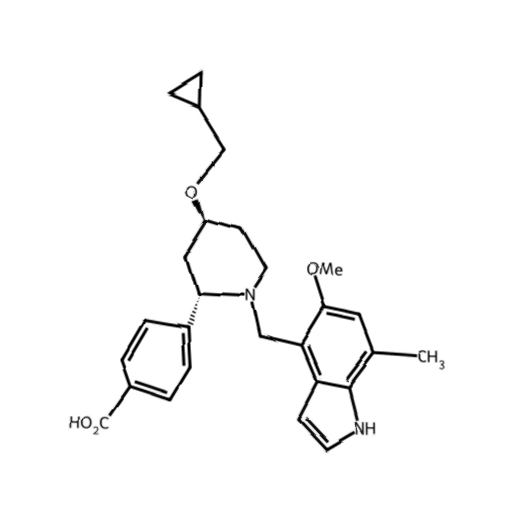 COc1cc(C)c2[nH]ccc2c1CN1CC[C@H](OCC2CC2)C[C@H]1c1ccc(C(=O)O)cc1